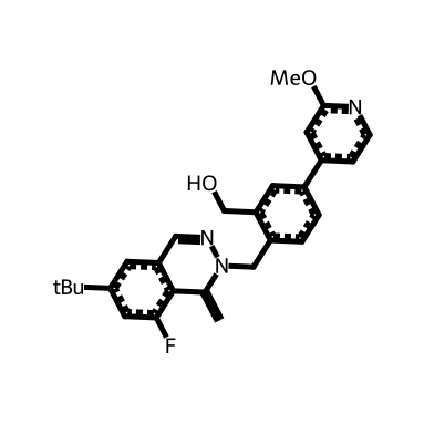 C=C1c2c(F)cc(C(C)(C)C)cc2C=NN1Cc1ccc(-c2ccnc(OC)c2)cc1CO